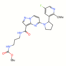 COc1ncc(F)cc1C1CCCN1c1ccn2ncc(C(=O)NCCCNC(=O)OC(C)(C)C)c2n1